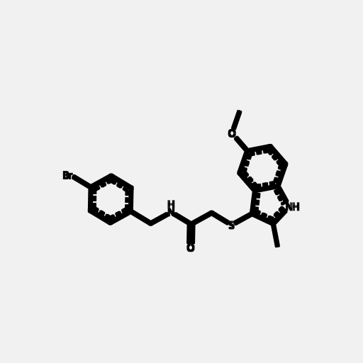 COc1ccc2[nH]c(C)c(SCC(=O)NCc3ccc(Br)cc3)c2c1